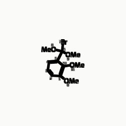 COc1cccc(C(Br)(OC)OC)c1OC